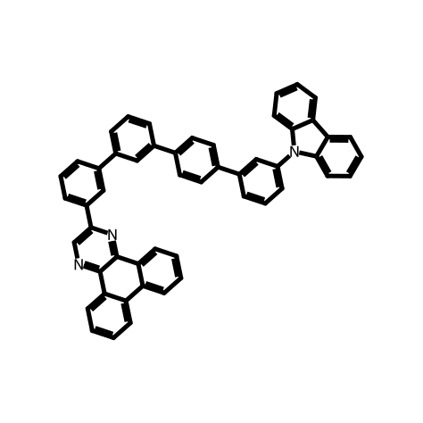 c1cc(-c2ccc(-c3cccc(-n4c5ccccc5c5ccccc54)c3)cc2)cc(-c2cccc(-c3cnc4c5ccccc5c5ccccc5c4n3)c2)c1